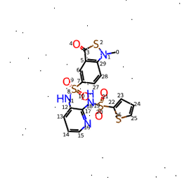 Cn1sc(=O)c2cc(S(=O)(=O)Nc3cccnc3NS(=O)(=O)c3cccs3)ccc21